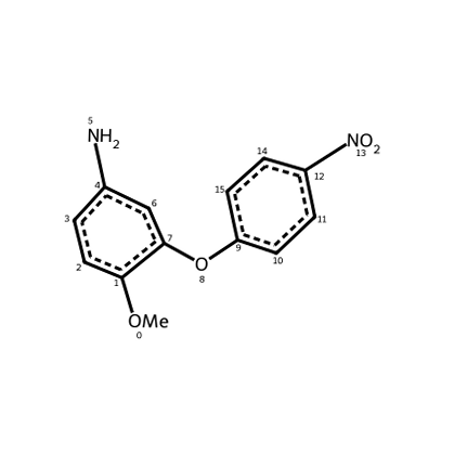 COc1ccc(N)cc1Oc1ccc([N+](=O)[O-])cc1